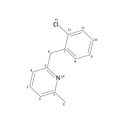 Cc1cc[c]c(Cc2ccccc2Cl)n1